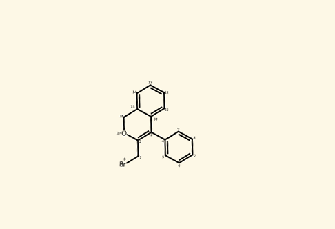 BrCC1=C(c2ccccc2)c2ccccc2CO1